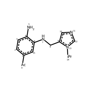 CC(=O)c1ccc(N)c(NCc2cncn2C(C)C)c1